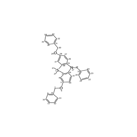 CS1(C)c2cc(OCc3ccccc3)ccc2N(Cc2ccccc2)c2ccc(OCc3ccccc3)cc21